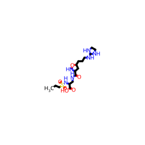 CCCS(=O)(=O)NC(CNC(=O)C1CC(CCCNC2NCCN2)ON1)C(=O)O